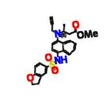 C#CCN(c1ccc(NS(=O)(=O)c2ccc3c(c2)CCO3)c2ccccc12)[C@@H](C)CC(=O)OC